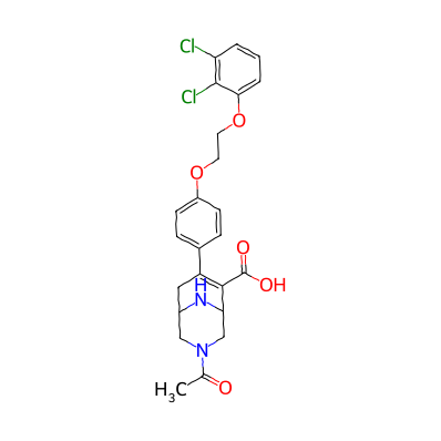 CC(=O)N1CC2CC(c3ccc(OCCOc4cccc(Cl)c4Cl)cc3)=C(C(=O)O)C(C1)N2